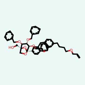 C=CCOCCCCc1ccc(Cc2cc([C@]34OC[C@](C(C)O)(O3)[C@@H](OCc3ccccc3)[C@H](OCc3ccccc3)[C@H]4OCc3ccccc3)ccc2C)cc1